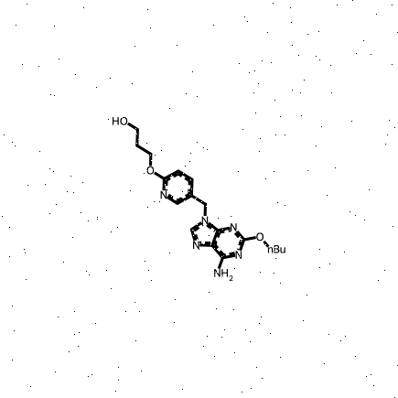 CCCCOc1nc(N)c2ncn(Cc3ccc(OCCCO)nc3)c2n1